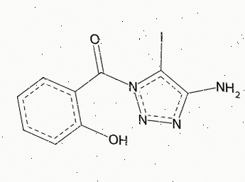 Nc1nnn(C(=O)c2ccccc2O)c1I